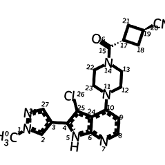 Cn1cc(-c2[nH]c3nccc(N4CCN(C(=O)[C@H]5C[C@H](C#N)C5)CC4)c3c2Cl)cn1